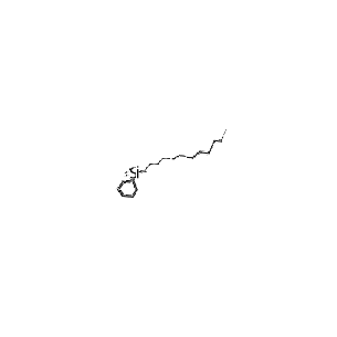 CCCCCCCCCCCC[Si]c1ccccc1